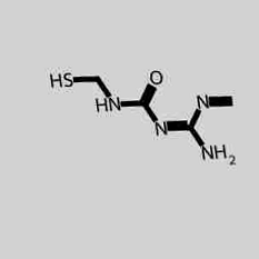 C=N/C(N)=N\C(=O)NCS